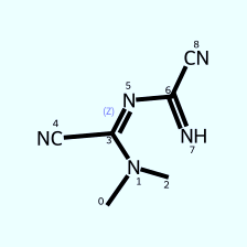 CN(C)/C(C#N)=N\C(=N)C#N